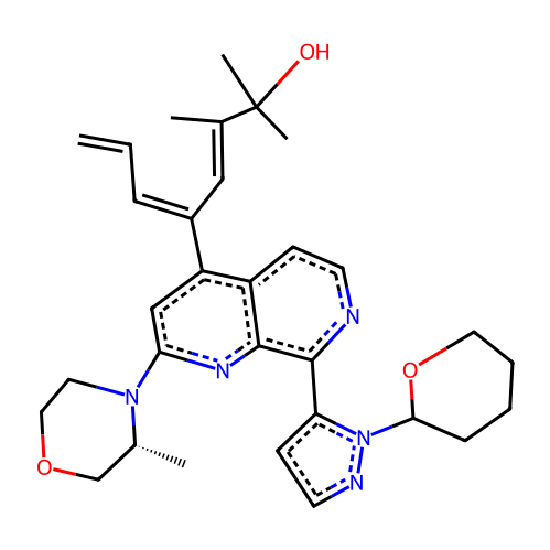 C=C/C=C(\C=C(/C)C(C)(C)O)c1cc(N2CCOC[C@H]2C)nc2c(-c3ccnn3C3CCCCO3)nccc12